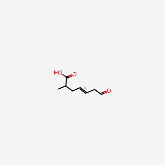 CC(C/C=C/CC=O)C(=O)O